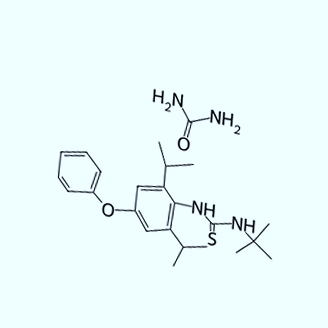 CC(C)c1cc(Oc2ccccc2)cc(C(C)C)c1NC(=S)NC(C)(C)C.NC(N)=O